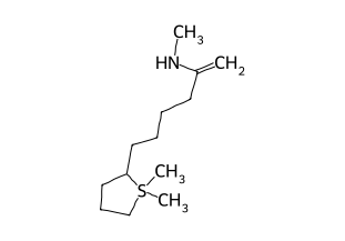 C=C(CCCCC1CCCS1(C)C)NC